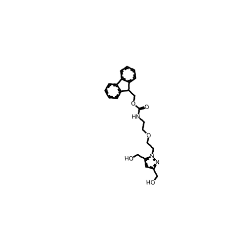 O=C(NCCOCCn1nc(CO)cc1CO)OCC1c2ccccc2-c2ccccc21